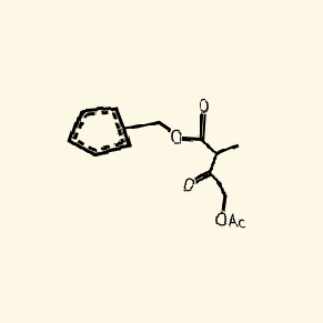 CC(=O)OCC(=O)C(C)C(=O)OCc1ccccc1